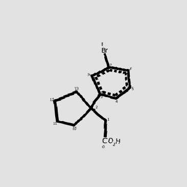 O=C(O)CC1(c2cccc(Br)c2)CCCC1